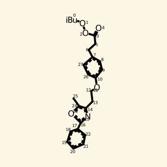 CCC(C)OOC(=O)CCc1ccc(OCCc2nc(-c3ccccc3)oc2C)cc1